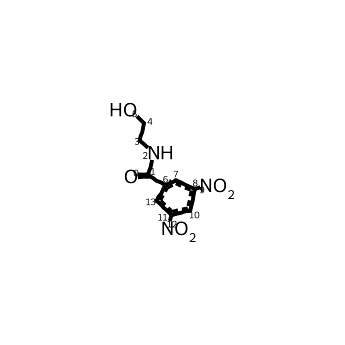 O=C(NCCO)c1[c]c([N+](=O)[O-])cc([N+](=O)[O-])c1